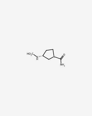 NC(=O)N1CC[C@@H](NC(=O)O)C1